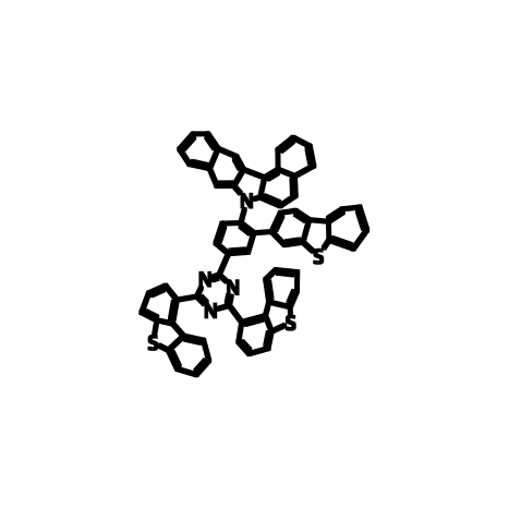 c1ccc2cc3c(cc2c1)c1c2ccccc2ccc1n3-c1ccc(-c2nc(-c3cccc4sc5ccccc5c34)nc(-c3cccc4sc5ccccc5c34)n2)cc1-c1ccc2c(c1)sc1ccccc12